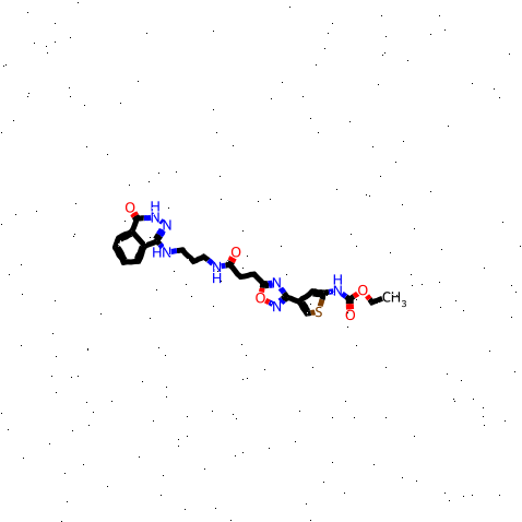 CCOC(=O)Nc1cc(-c2noc(CCC(=O)NCCCNc3n[nH]c(=O)c4ccccc34)n2)cs1